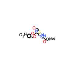 COC(=O)c1cn(CC2SC3CC(=O)N3C2C(=O)OCc2ccc([N+](=O)[O-])cc2)nn1